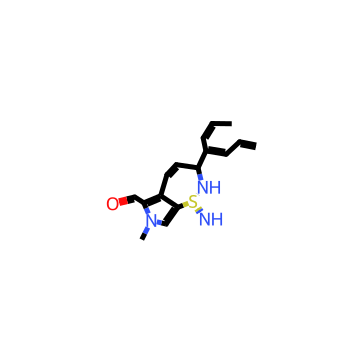 C=C/C=C(\C=C/C)C1C=Cc2c(cn(C)c2C=O)S(=N)N1